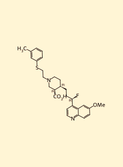 COc1ccc2nccc([C@H](F)CC[C@@H]3CCN(CCSc4cccc(C)c4)C[C@@H]3C(=O)O)c2c1